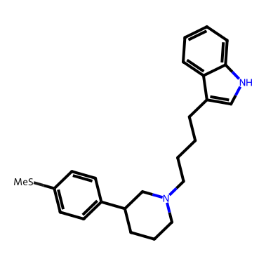 CSc1ccc(C2CCCN(CCCCc3c[nH]c4ccccc34)C2)cc1